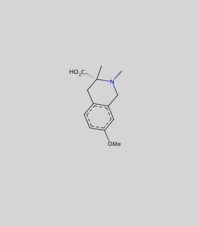 COc1ccc2c(c1)CN(C)[C@@](C)(C(=O)O)C2